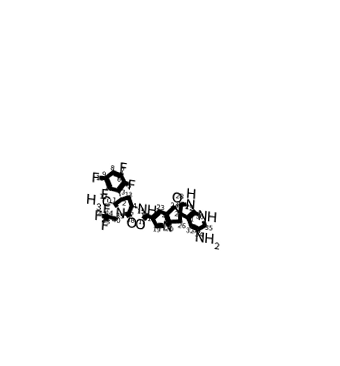 C[C@@H]1[C@H](c2c(F)c(F)cc(F)c2F)C[C@H](NC(=O)c2cnc3c(c2)C[C@@]2(C3)C(=O)NC3=C2C=C(N)CN3)C(=O)N1CC(F)(F)F